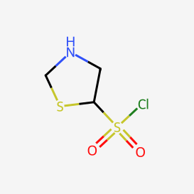 O=S(=O)(Cl)C1CNCS1